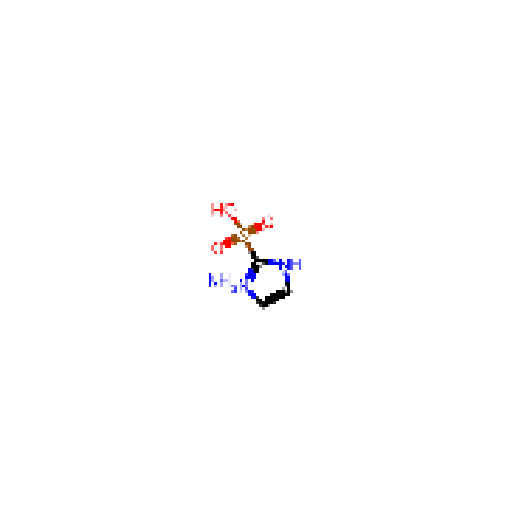 N.O=S(=O)(O)c1ncc[nH]1